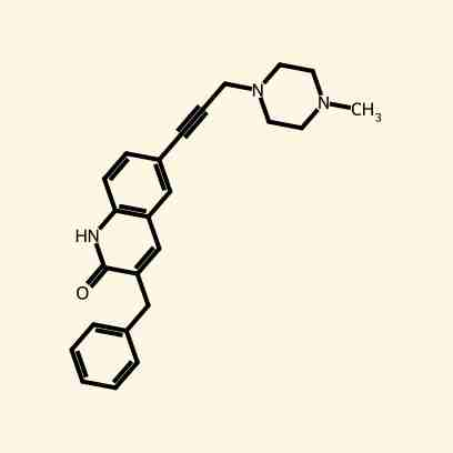 CN1CCN(CC#Cc2ccc3[nH]c(=O)c(Cc4ccccc4)cc3c2)CC1